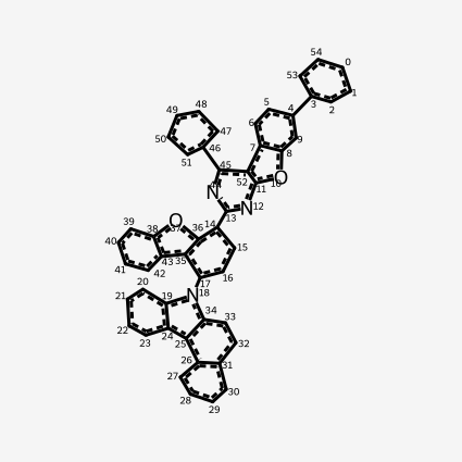 c1ccc(-c2ccc3c(c2)oc2nc(-c4ccc(-n5c6ccccc6c6c7ccccc7ccc65)c5c4oc4ccccc45)nc(-c4ccccc4)c23)cc1